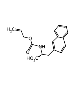 C=CCOC(=O)N[C@@H](Cc1ccc2ccccc2c1)C(=O)O